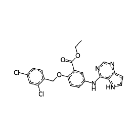 CCOC(=O)c1cc(Nc2ncnc3cc[nH]c23)ccc1OCc1ccc(Cl)cc1Cl